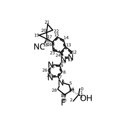 CC(C)(O)[C@H]1CN(c2cc(-n3ncc4ccc([C@]5(C#N)CC56CC6)cc43)ncn2)C[C@H]1F